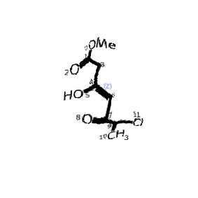 COC(=O)C/C(O)=C/C(=O)C(C)Cl